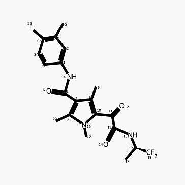 Cc1cc(NC(=O)c2c(C)c(C(=O)C(=O)N[C@H](C)C(F)(F)F)n(C)c2C)ccc1F